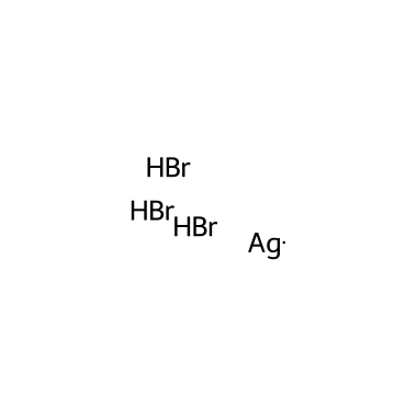 Br.Br.Br.[Ag]